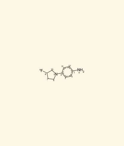 Nc1ccc(N2CCC(F)C2)cc1